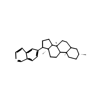 C[C@H]1CC[C@H]2[C@@H](CC[C@@H]3[C@@H]2CC[C@]2(C)C(c4ccc5cnccc5c4)CC[C@@H]32)C1